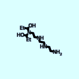 CCC(O)N(CCNCCNCCN)C(O)CC